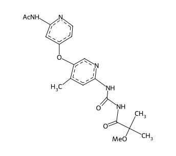 COC(C)(C)C(=O)NC(=O)Nc1cc(C)c(Oc2ccnc(NC(C)=O)c2)cn1